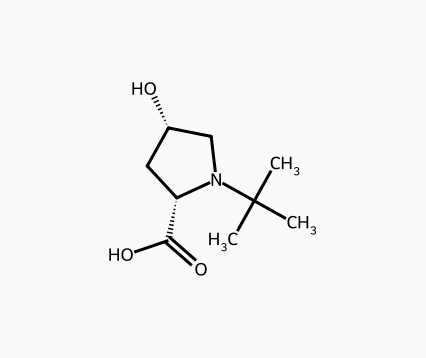 CC(C)(C)N1C[C@@H](O)C[C@H]1C(=O)O